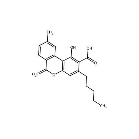 C=C1Oc2cc(CCCCC)c(C(=O)O)c(O)c2-c2cc(C)ccc21